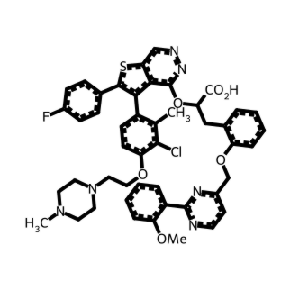 COc1ccccc1-c1nccc(COc2ccccc2CC(Oc2nncc3sc(-c4ccc(F)cc4)c(-c4ccc(OCCN5CCN(C)CC5)c(Cl)c4C)c23)C(=O)O)n1